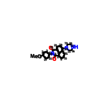 COc1ccc(N2C(=O)c3cccc4c(N5CCNCC5)ccc(c34)C2=O)cc1